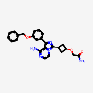 NC(=O)CO[C@H]1C[C@@H](c2nc(-c3cccc(OCc4ccccc4)c3)c3c(N)nccn32)C1